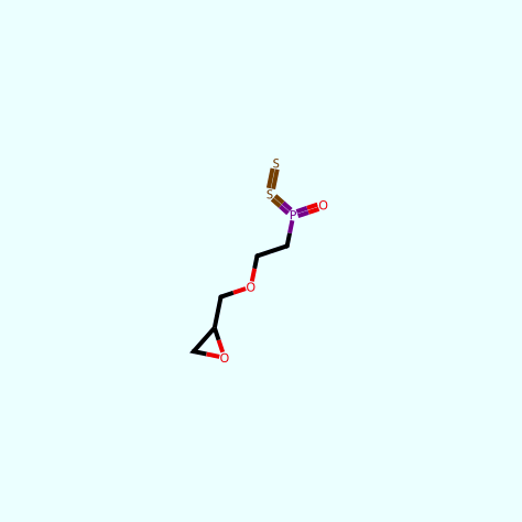 O=P(CCOCC1CO1)=S=S